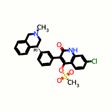 CN1Cc2ccccc2[C@@H](c2cccc(-c3c(OS(C)(=O)=O)c4ccc(Cl)cc4[nH]c3=O)c2)C1